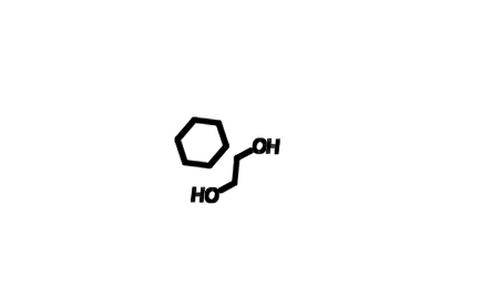 C1CCCCC1.OCCO